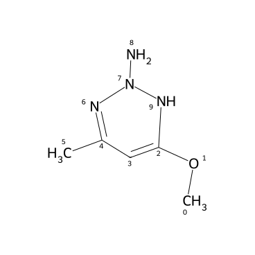 COC1=CC(C)=NN(N)N1